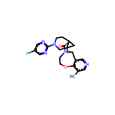 N#Cc1cncc2c1OCCN(C(=O)[C@]13CCN(c4ncc(F)cn4)C[C@H]1C3)C2